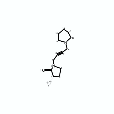 O=C1[C@@H](O)CCN1CC#CCN1CCCCC1